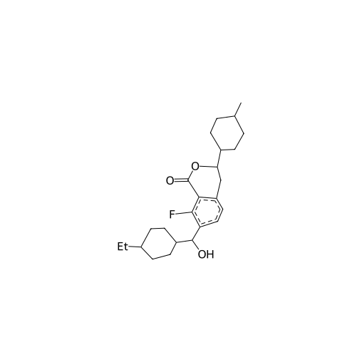 CCC1CCC(C(O)c2ccc3c(c2F)C(=O)OC(C2CCC(C)CC2)C3)CC1